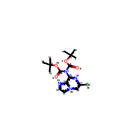 CC(C)(C)OC(=O)N(C(=O)OC(C)(C)C)c1nc(Br)cn2ccnc12